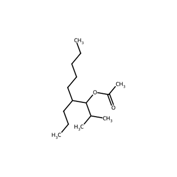 CCCCCC(CCC)C(OC(C)=O)C(C)C